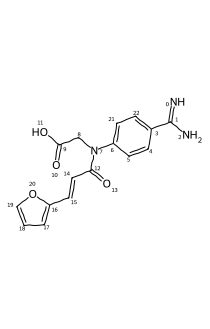 N=C(N)c1ccc(N(CC(=O)O)C(=O)C=Cc2ccco2)cc1